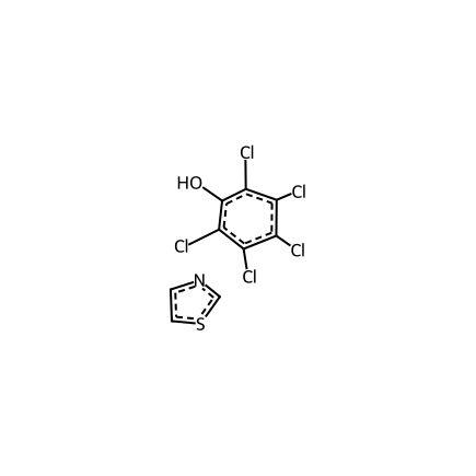 Oc1c(Cl)c(Cl)c(Cl)c(Cl)c1Cl.c1cscn1